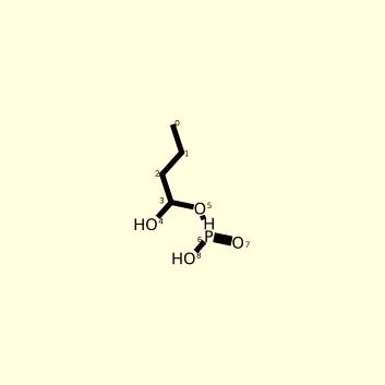 CCCC(O)O[PH](=O)O